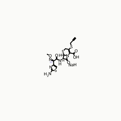 C#CCSC1=C(C(=O)O)N2C(=O)[C@@H](NC(=O)/C(=N\OC)c3csc(N)n3)[C@H]2SC1.[NaH]